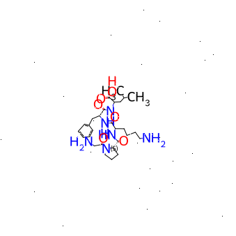 CC(C)CC(NC(=O)C(Cc1ccccc1)NC(=O)C(CCCCN)NC(=O)[C@@H]1CCCN1C(=O)CN)C(=O)O